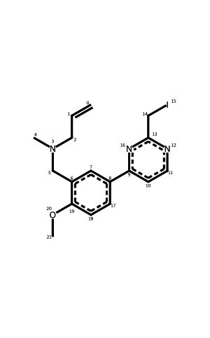 C=CCN(C)Cc1cc(-c2ccnc(CI)n2)ccc1OC